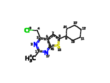 Cc1nc(CCl)c2cc(C3CCCCC3)sc2n1